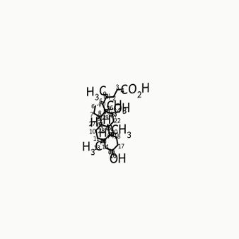 C[C@H](CCC(=O)O)[C@H]1CC[C@H]2[C@@H]3CC[C@]4(C)C[C@H](O)CC[C@]4(C)[C@H]3C[C@H](O)[C@]12C